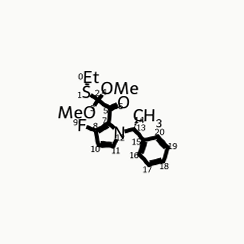 CCSC(OC)(OC)C(=O)c1c(F)ccn1[C@H](C)c1ccccc1